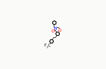 O=C1c2cc(CCc3ccc(C(F)(F)F)cc3)ccc2OCCN1Cc1ccccc1